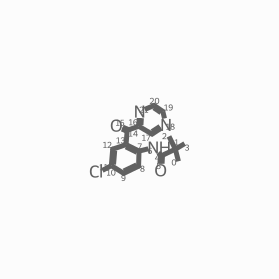 CC(C)(C)C(=O)Nc1ccc(Cl)cc1C(=O)c1cnccn1